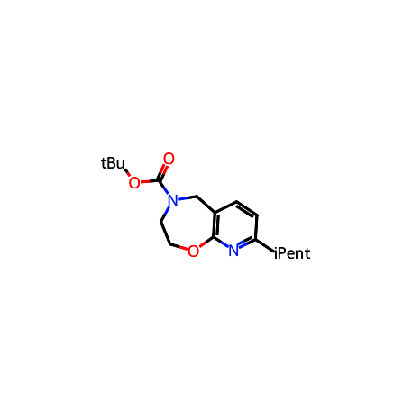 CCCC(C)c1ccc2c(n1)OCCN(C(=O)OC(C)(C)C)C2